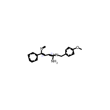 C=N/C(=C\C=C(/N)NCc1ccc(OC)cc1)c1ccccc1